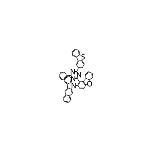 C1=CC2Oc3ccc(-n4c5ccccc5c5cc6ccccc6cc54)c(-c4nc(-c5ccccc5)nc(-c5ccc6sc7ccccc7c6c5)n4)c3C2C=C1